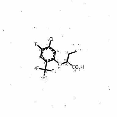 CCC(F)(F)c1cc(F)c(Cl)cc1O[C@@H](CF)C(=O)O